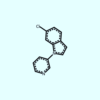 Clc1ccc2ccn(-c3cccnc3)c2c1